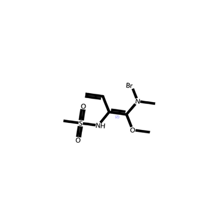 C=C/C(NS(C)(=O)=O)=C(/OC)N(C)Br